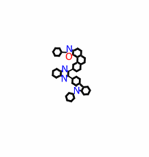 c1ccc(-c2nc3ccc4ccc5ccc(-c6nc7ccccc7nc6-c6ccc7c8ccccc8n(-c8ccccc8)c7c6)cc5c4c3o2)cc1